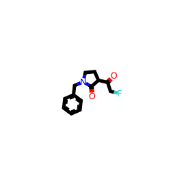 O=C(CF)C1CCN(Cc2ccccc2)C1=O